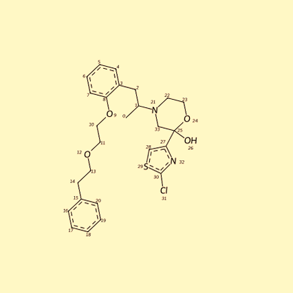 CC(Cc1ccccc1OCCOCCc1ccccc1)N1CCOC(O)(c2csc(Cl)n2)C1